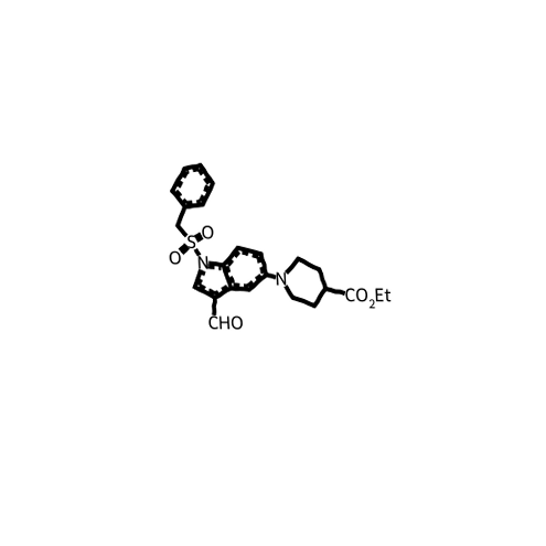 CCOC(=O)C1CCN(c2ccc3c(c2)c(C=O)cn3S(=O)(=O)Cc2ccccc2)CC1